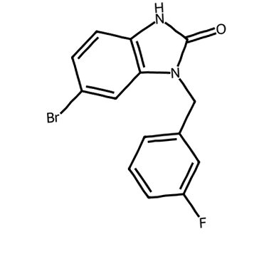 O=c1[nH]c2ccc(Br)cc2n1Cc1cccc(F)c1